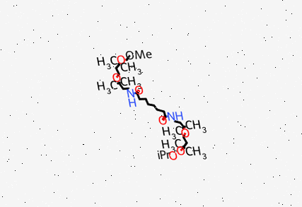 COCOC(C)(C)CCOC(C)(C)CCNC(=O)CCCCCCC(=O)NCCC(C)(C)OCCC(C)(C)OCOC(C)C